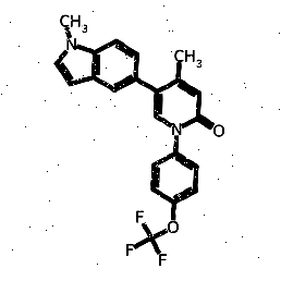 Cc1cc(=O)n(-c2ccc(OC(F)(F)F)cc2)cc1-c1ccc2c(ccn2C)c1